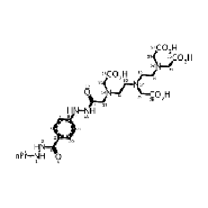 CCCNNC(=O)c1ccc(NNC(=O)CN(CCN(CCN(CC(=O)O)CC(=O)O)CC(=O)O)CC(=O)O)cc1